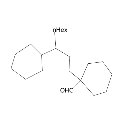 CCCCCCC(CCC1(C=O)CCCCC1)C1CCCCC1